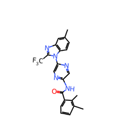 Cc1ccc2c(c1)nc(C(F)(F)F)n2-c1cnc(NC(=O)c2cccc(C)c2C)cn1